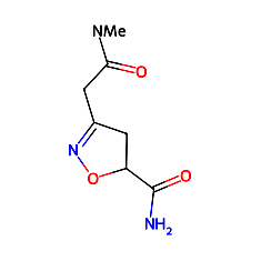 CNC(=O)CC1=NOC(C(N)=O)C1